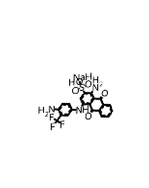 Nc1ccc(Nc2cc(S(=O)(=O)O)c(N)c3c2C(=O)c2ccccc2C3=O)cc1C(F)(F)F.[NaH]